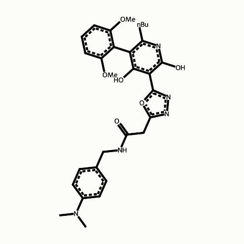 CCCCc1nc(O)c(-c2nnc(CC(=O)NCc3ccc(N(C)C)cc3)o2)c(O)c1-c1c(OC)cccc1OC